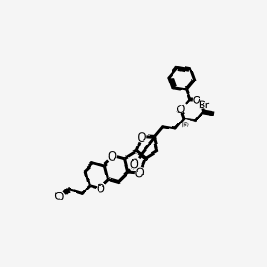 C=C(Br)C[C@@H](CCC12CC3OC4C(OC5CCC(CC=O)OC5C4O1)C3O2)OC(=O)c1ccccc1